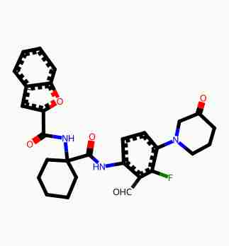 O=Cc1c(NC(=O)C2(NC(=O)c3cc4ccccc4o3)CCCCC2)ccc(N2CCCC(=O)C2)c1F